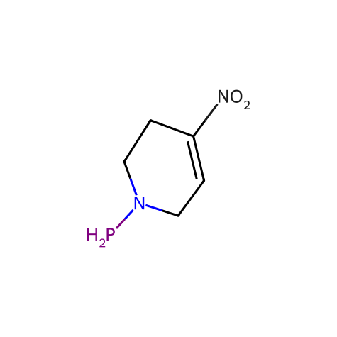 O=[N+]([O-])C1=CCN(P)CC1